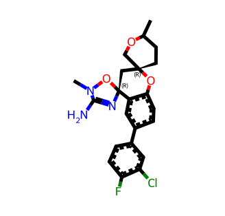 CC1CC[C@]2(CO1)C[C@]1(N=C(N)N(C)O1)c1cc(-c3ccc(F)c(Cl)c3)ccc1O2